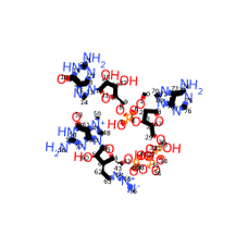 CO[C@@H]1[C@H](OP(=O)(O)OC[C@H]2O[C@@H](n3cnc4c(=O)[nH]c(N)nc43)[C@H](O)[C@@H]2O)C(COP(=O)(O)OP(=O)(O)OP(=O)(O)OC[C@H]2OC(n3c[n+](C)c4c(=O)[nH]c(N)nc43)[C@H](O)[C@@H]2CCN=[N+]=[N-])O[C@H]1n1cnc2c(N)ncnc21